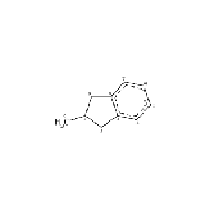 CC1[C]c2ccccc2C1